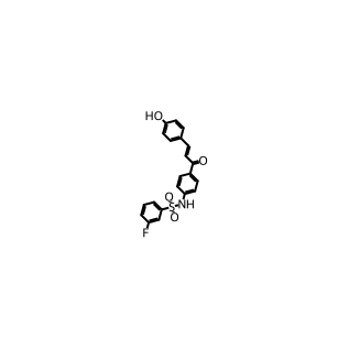 O=C(/C=C/c1ccc(O)cc1)c1ccc(NS(=O)(=O)c2cccc(F)c2)cc1